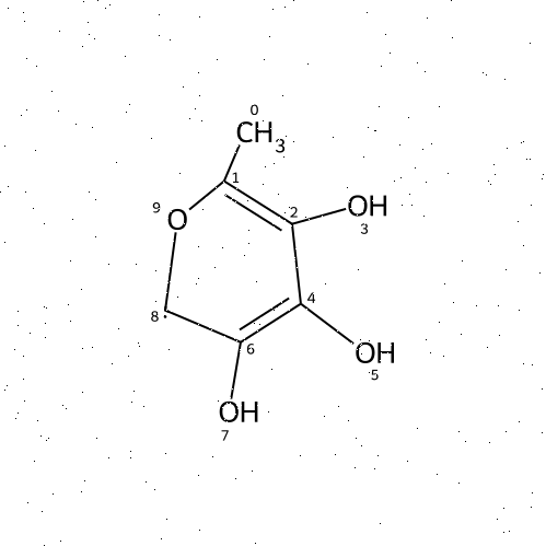 CC1=C(O)C(O)=C(O)[CH]O1